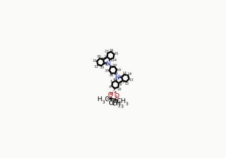 CC1(C)OB(c2ccc3c(c2)c2ccccc2n3-c2ccc(-n3c4ccccc4c4ccccc43)cc2)OC1(C)C